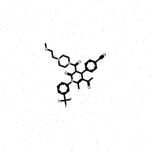 COCCN1CCN(C(=O)C2C(=O)N(c3cccc(C(F)(F)F)c3)C(C)=C(C(C)=O)C2c2ccc(C#N)cc2)CC1